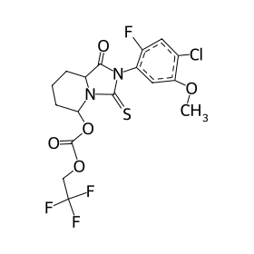 COc1cc(N2C(=O)C3CCCC(OC(=O)OCC(F)(F)F)N3C2=S)c(F)cc1Cl